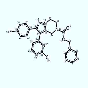 O=C(OCc1ccccc1)N1CCn2nc(-c3ccc(F)cc3)c(-c3ccnc(Cl)n3)c2C1